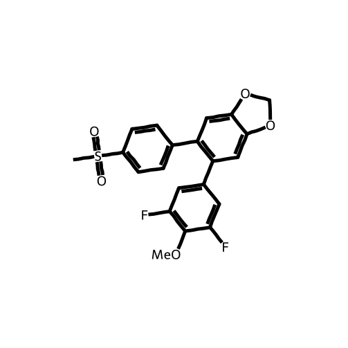 COc1c(F)cc(-c2cc3c(cc2-c2ccc(S(C)(=O)=O)cc2)OCO3)cc1F